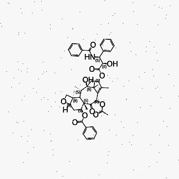 CC(=O)O[C@H]1C(=O)[C@@]2(C)C([C@H](C)[C@]3(O)C[C@H](OC(=O)[C@H](O)[C@@H](NC(=O)c4ccccc4)c4ccccc4)C(C)=C1C3(C)C)[C@]1(C)CO[C@@H]1C[C@@H]2OC(=O)c1ccccc1